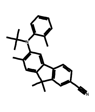 Cc1ccccc1N(c1cc2c(cc1C)C(C)(C)c1cc(C#N)ccc1-2)C(C)(C)C